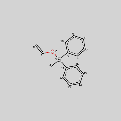 C=CO[Si](C)(c1ccccc1)c1ccccc1